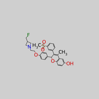 CC1=C(c2cccc(S(C)(=O)=O)c2)C(c2ccc(OCCN3CC(CF)C3)cc2)Oc2ccc(O)cc21